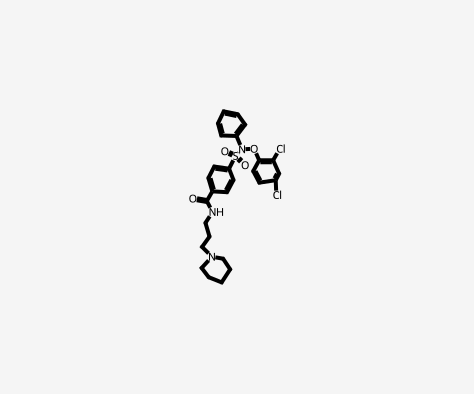 O=C(NCCCN1CCCCC1)c1ccc(S(=O)(=O)N(Oc2ccc(Cl)cc2Cl)c2ccccc2)cc1